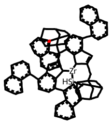 C[SiH](C)[Zr]([CH]1C(CC23CC4CC(CC(C4)C2)C3)=Cc2c(-c3cccc4ccccc34)ccc(-c3cccc4ccccc34)c21)[CH]1C(CC23CC4CC(CC(C4)C2)C3)=Cc2c(-c3cccc4ccccc34)ccc(-c3cccc4ccccc34)c21